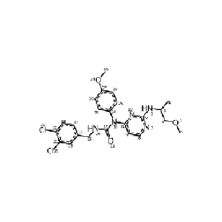 COCC(C)Nc1nccc(N(C(=O)NCc2ccc(Cl)c(Cl)c2)c2ccc(OC)cc2)n1